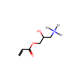 C=CC(=O)OCC(O)C[N+](CC)(CC)CC